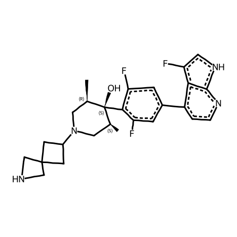 C[C@@H]1CN(C2CC3(CNC3)C2)C[C@H](C)[C@@]1(O)c1c(F)cc(-c2ccnc3[nH]cc(F)c23)cc1F